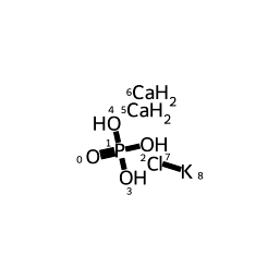 O=P(O)(O)O.[CaH2].[CaH2].[Cl][K]